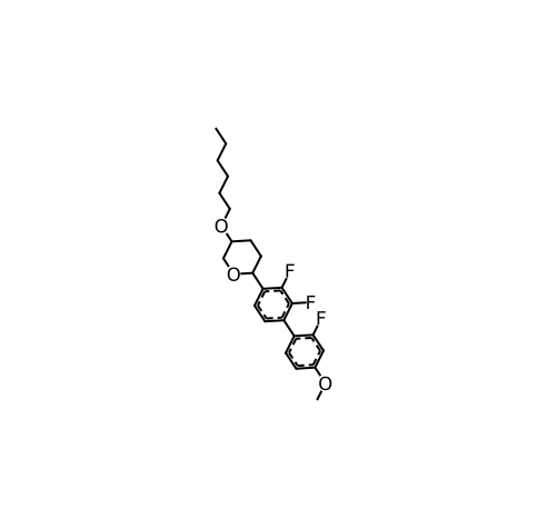 CCCCCCOC1CCC(c2ccc(-c3ccc(OC)cc3F)c(F)c2F)OC1